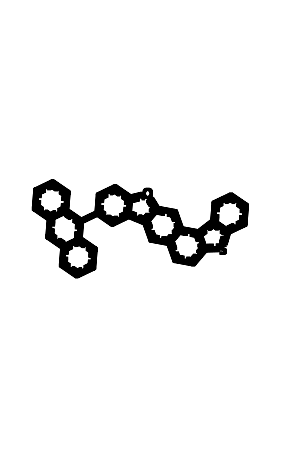 c1ccc2c(-c3ccc4oc5cc6c(ccc7sc8ccccc8c76)cc5c4c3)c3ccccc3cc2c1